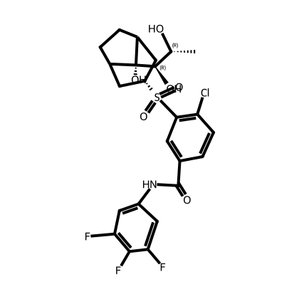 C[C@@H](O)[C@@H](O)[C@]1(O)C2CCC1C[C@@H](S(=O)(=O)c1cc(C(=O)Nc3cc(F)c(F)c(F)c3)ccc1Cl)C2